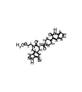 COCCN1Cc2c(cc(Br)c3[nH]ncc23)C[C@@H](CC(=O)N2CCC(c3cc4ccccc4[nH]c3=O)CC2)C1=O